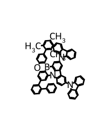 Cc1cc(C)c(-c2ccc3c(c2)B2c4c(cc(-c5ccccc5-c5ccccc5)cc4-n4c5ccc(-n6c7ccccc7c7ccccc76)cc5c5cc(-n6c7ccccc7c7ccccc76)cc2c54)O3)c(C)c1